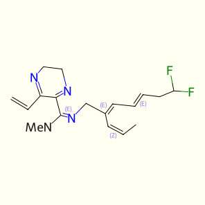 C=CC1=NCCN=C1/C(=N\CC(/C=C\C)=C/C=C/CC(F)F)NC